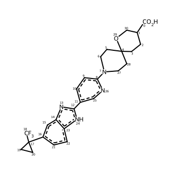 O=C(O)C1CCC2(CCN(c3ccc(-c4nc5cc(C6(C(F)(F)F)CC6)ccc5[nH]4)cn3)CC2)OC1